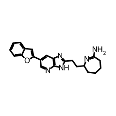 NC1=NC(CCc2nc3cc(-c4cc5ccccc5o4)cnc3[nH]2)CCCC1